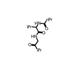 CCCC(=O)NC(C(=O)NCC(=O)C(C)C)C(C)C